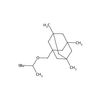 CC(OCC12CC3(C)CC(C)(CC(C)(C3)C1)C2)C(C)(C)C